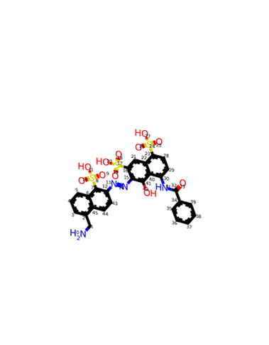 NCc1cccc2c(S(=O)(=O)O)c(N=Nc3c(S(=O)(=O)O)cc4c(S(=O)(=O)O)ccc(NC(=O)c5ccccc5)c4c3O)ccc12